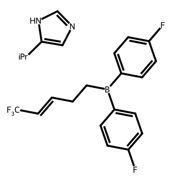 CC(C)c1cnc[nH]1.Fc1ccc(B(CCC=CC(F)(F)F)c2ccc(F)cc2)cc1